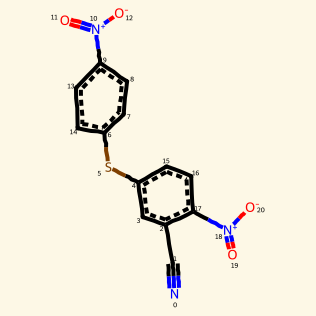 N#Cc1cc(Sc2ccc([N+](=O)[O-])cc2)ccc1[N+](=O)[O-]